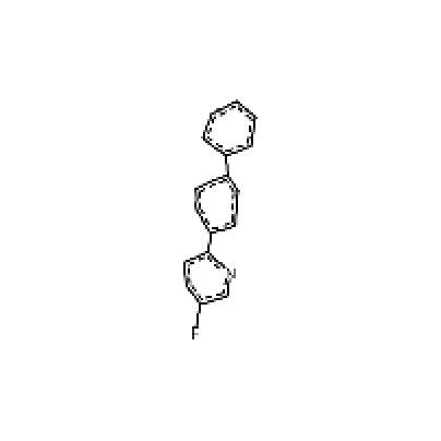 Fc1ccc(-c2ccc(-c3ccccc3)cc2)nc1